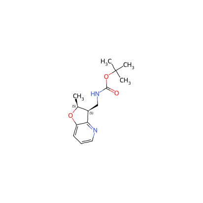 C[C@@H]1Oc2cccnc2[C@@H]1CNC(=O)OC(C)(C)C